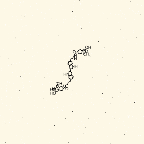 COC1CN(C(=O)CCCCc2ccc3c(n2)NCC(C2CNc4nc(CCCNC(=O)N5CCC(CC(=O)O)(OC)CC5)ccc4C2)C3)CCC1(O)CC(O)O